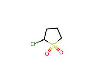 O=S1(=O)CCC[C]1Cl